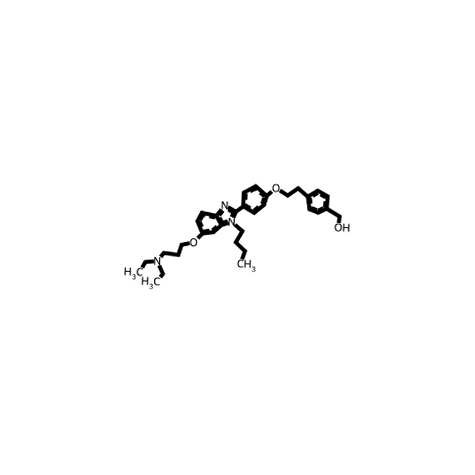 CCCCn1c(-c2ccc(OCCc3ccc(CO)cc3)cc2)nc2ccc(OCCCN(CC)CC)cc21